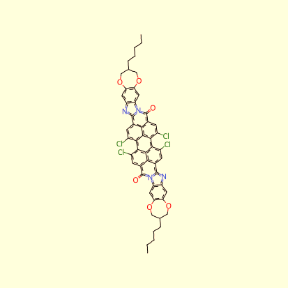 CCCCCC1COc2cc3nc4c5cc(Cl)c6c7c(Cl)cc8c(=O)n9c%10cc%11c(cc%10nc9c9cc(Cl)c(c%10c(Cl)cc(c(=O)n4c3cc2OC1)c5c%106)c7c89)OCC(CCCCC)CO%11